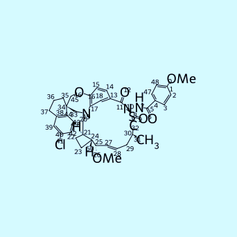 COc1ccc(C(=O)NS2(=O)=NC(=O)c3ccc4c(c3)N(C[C@@H]3CC[C@H]3[C@@H](OC)/C=C/C[C@H](C)C2)C[C@@]2(CCCc3cc(Cl)ccc32)CO4)cc1